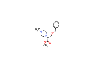 COC(=O)C(COCc1ccccc1)N1CCN(C)CC1